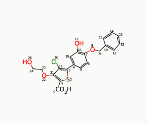 O=C(O)c1sc(-c2ccc(OCc3ccccc3)c(O)c2)c(Cl)c1OCCO